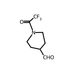 O=CC1CCN(C(=O)C(F)(F)F)CC1